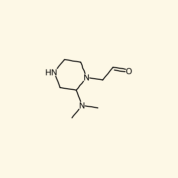 CN(C)C1CNCCN1CC=O